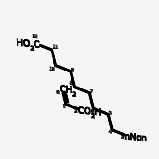 C=CC(=O)O.CCCCCCCCCCCCCCCCCC(=O)O